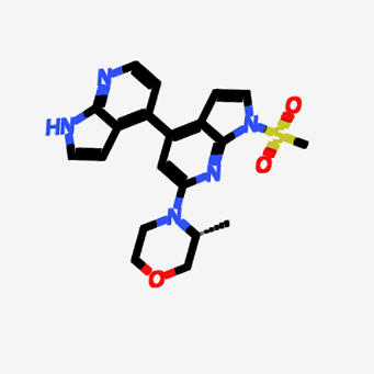 C[C@@H]1COCCN1c1cc(-c2ccnc3[nH]ccc23)c2ccn(S(C)(=O)=O)c2n1